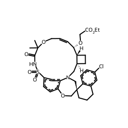 CCOC(=O)CO[C@H]1C=CCOC(C)(C)C(=O)NS(=O)(=O)c2ccc3c(c2)N(C[C@@H]2CC[C@H]21)C[C@@]1(CCCc2cc(Cl)ccc21)CO3